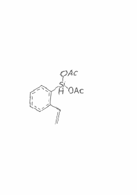 C=Cc1ccccc1[SiH](OC(C)=O)OC(C)=O